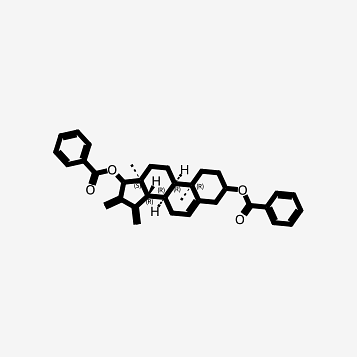 C=C1C(=C)[C@H]2[C@@H]3CC=C4CC(OC(=O)c5ccccc5)CC[C@]4(C)[C@@H]3CC[C@]2(C)C1OC(=O)c1ccccc1